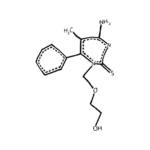 Cc1c(N)nc(=S)n(COCCO)c1-c1ccccc1